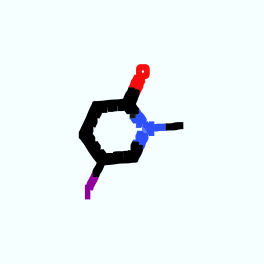 Cn1cc(I)ccc1=O